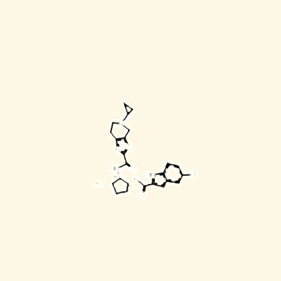 Cl.O=C(N[C@@H]1CCC[C@H]1NC(=O)c1nc2c(s1)CN(C1CC1)CC2)c1cc2cc(Cl)ccc2[nH]1